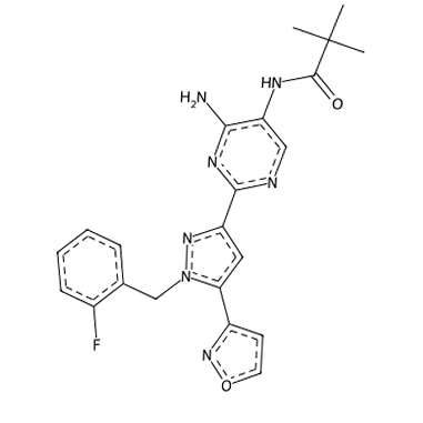 CC(C)(C)C(=O)Nc1cnc(-c2cc(-c3ccon3)n(Cc3ccccc3F)n2)nc1N